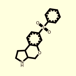 O=S(=O)(c1ccccc1)c1ccc2c(c1)OCC1NCCC21